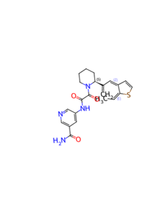 C=C(/C=c1/ccs/c1=C/C)[C@@H]1CCCCN1C(=O)C(=O)Nc1cncc(C(N)=O)c1